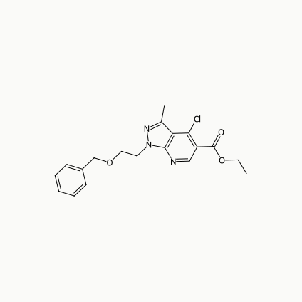 CCOC(=O)c1cnc2c(c(C)nn2CCOCc2ccccc2)c1Cl